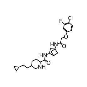 O=C(COc1ccc(Cl)c(F)c1)NC12CC(C1)C(NC(=O)C1CCC(CCC3CC3)CN1)C2